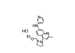 CCOC[C@@H]1CCCN1c1cc(C)nc2cc(Nc3cccnc3)ccc12.Cl